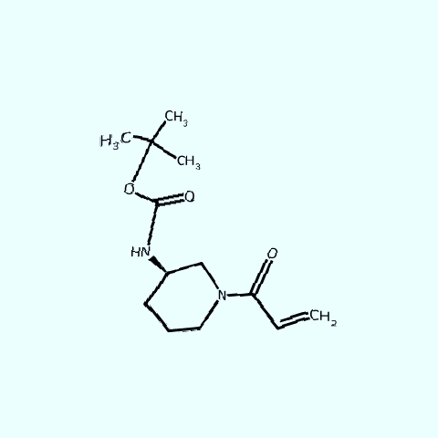 C=CC(=O)N1CCC[C@@H](NC(=O)OC(C)(C)C)C1